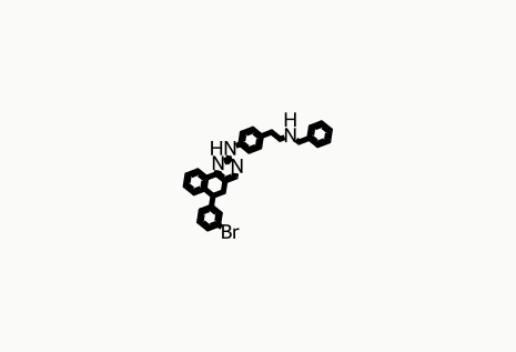 Brc1cccc(C2Cc3cnc(Nc4ccc(CCNCc5ccccc5)cc4)nc3-c3ccccc32)c1